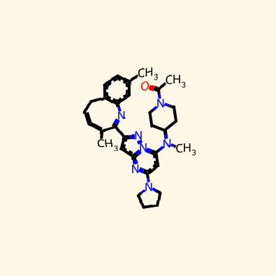 CC(=O)N1CCC(N(C)c2cc(N3CCCC3)nc3cc(/C4=N/c5cc(C)ccc5CC=C=C4C)nn23)CC1